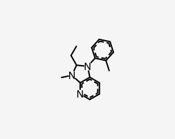 CCC1N(C)c2ncccc2N1c1ccccc1C